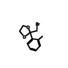 Cc1ccccc1C1(CBr)OCCO1